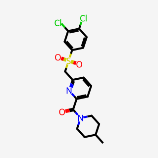 CC1CCN(C(=O)c2cccc(CS(=O)(=O)c3ccc(Cl)c(Cl)c3)n2)CC1